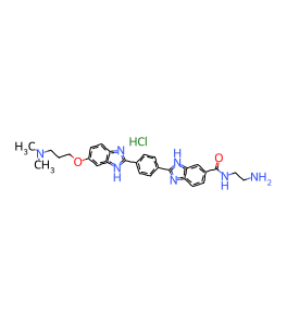 CN(C)CCCOc1ccc2nc(-c3ccc(-c4nc5ccc(C(=O)NCCN)cc5[nH]4)cc3)[nH]c2c1.Cl